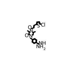 CC1CN(Cc2ccc(C(=N)N)cc2)C(=O)C(C)N1C(=O)/C=C/c1ccc(Cl)s1